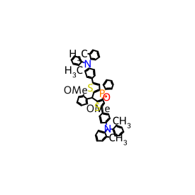 COc1cccc(OC)c1C1c2sc(-c3ccc(N(c4ccccc4C)c4ccccc4C)cc3)cc2P(=O)(c2ccccc2)c2cc(-c3ccc(N(c4ccccc4C)c4ccccc4C)cc3)sc21